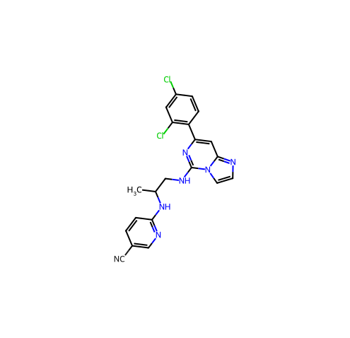 CC(CNc1nc(-c2ccc(Cl)cc2Cl)cc2nccn12)Nc1ccc(C#N)cn1